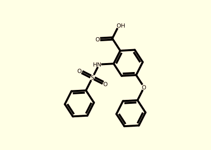 O=C(O)c1ccc(Oc2ccccc2)cc1NS(=O)(=O)c1ccccc1